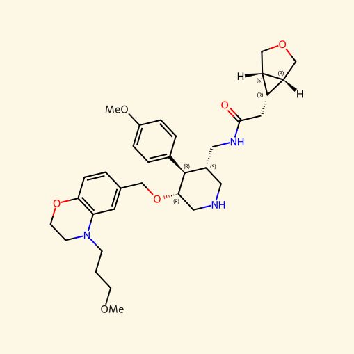 COCCCN1CCOc2ccc(CO[C@H]3CNC[C@@H](CNC(=O)C[C@@H]4[C@@H]5COC[C@@H]54)[C@@H]3c3ccc(OC)cc3)cc21